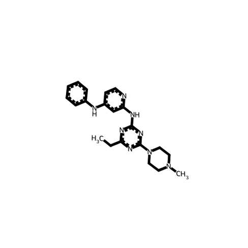 CCc1nc(Nc2cc(Nc3ccccc3)ccn2)nc(N2CCN(C)CC2)n1